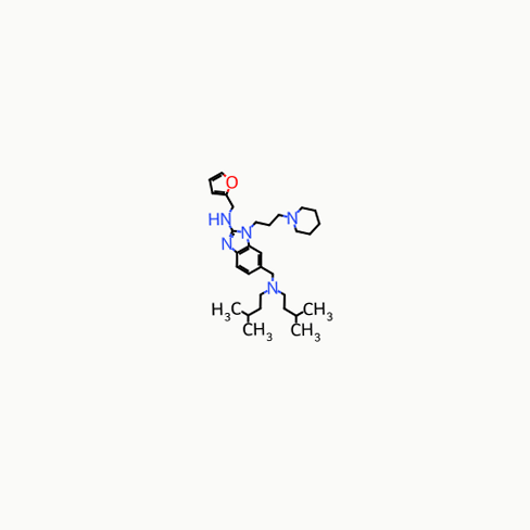 CC(C)CCN(CCC(C)C)Cc1ccc2nc(NCc3ccco3)n(CCCN3CCCCC3)c2c1